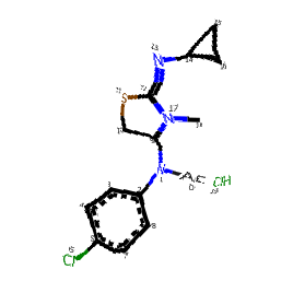 CC(=O)N(c1ccc(Cl)cc1)C1CSC(=NC2CC2)N1C.Cl